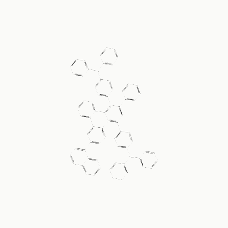 C1=CC(N(c2ccccc2)c2ccc(-c3cc(-c4ccccc4)c(-c4ccc(N(c5ccccc5)c5ccccc5)cc4)c4c5ccccc5c5cc(-c6cccc7ccccc67)ccc5c34)cc2)=CCC1